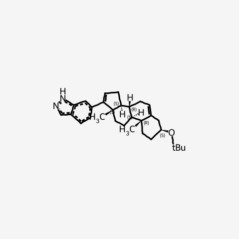 CC(C)(C)O[C@H]1CC[C@@]2(C)C(=CC[C@@H]3[C@@H]2CC[C@]2(C)C(c4ccc5cn[nH]c5c4)=CC[C@@H]32)C1